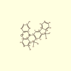 Cc1ccc2c(c1)B1c3cc4c(cc3C(C)(C)c3c(C)ccc(c31)O2)C(C)(C)c1ccccc1-4